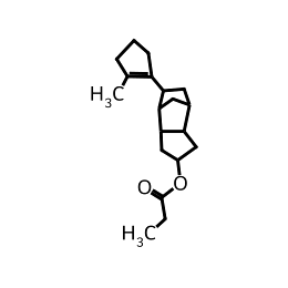 CCC(=O)OC1CC2C3CC(C4=C(C)CCC4)C(C3)C2C1